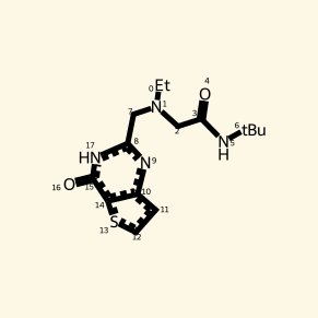 CCN(CC(=O)NC(C)(C)C)Cc1nc2ccsc2c(=O)[nH]1